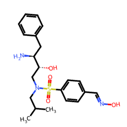 CC(C)CN(C[C@@H](O)[C@@H](N)Cc1ccccc1)S(=O)(=O)c1ccc(/C=N/O)cc1